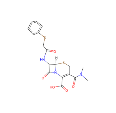 CN(C)C(=O)C1=C(C(=O)O)N2C(=O)C(NC(=O)CSc3ccccc3)[C@H]2SC1